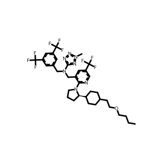 CCCCOCCC1CCC([C@H]2CCCN2c2ncc(C(F)(F)F)cc2CN(Cc2cc(C(F)(F)F)cc(C(F)(F)F)c2)c2nnn(C)n2)CC1